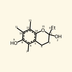 CCC1(O)CCc2c(C)c(O)c(C)c(C)c2O1